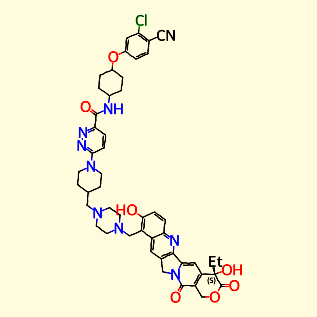 CC[C@@]1(O)C(=O)OCc2c1cc1n(c2=O)Cc2cc3c(CN4CCN(CC5CCN(c6ccc(C(=O)NC7CCC(Oc8ccc(C#N)c(Cl)c8)CC7)nn6)CC5)CC4)c(O)ccc3nc2-1